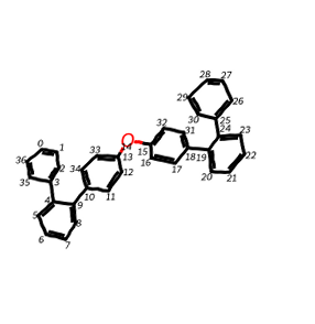 c1ccc(-c2ccccc2-c2ccc(Oc3ccc(-c4ccccc4-c4ccccc4)cc3)cc2)cc1